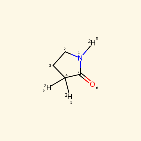 [2H]N1CCC([2H])([2H])C1=O